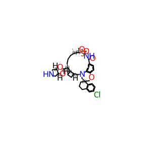 C[C@@H]1[C@@H](C)CCC[C@H]([C@H]2O[C@H]3CNC[C@H]3O2)[C@@H]2CC[C@H]2CN2C[C@@]3(CCCc4cc(Cl)ccc43)COc3ccc(cc32)C(=O)NS1(=O)=O